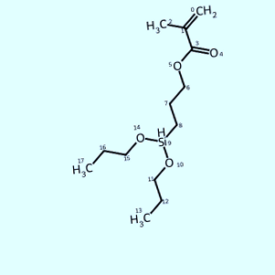 C=C(C)C(=O)OCCC[SiH](OCCC)OCCC